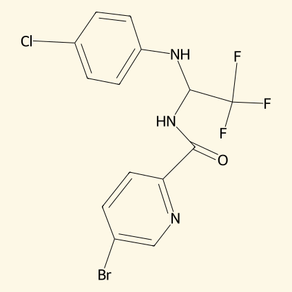 O=C(NC(Nc1ccc(Cl)cc1)C(F)(F)F)c1ccc(Br)cn1